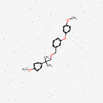 COc1ccc(Oc2cccc(COCC(C)(C)c3ccc(OC)cc3)c2)cc1